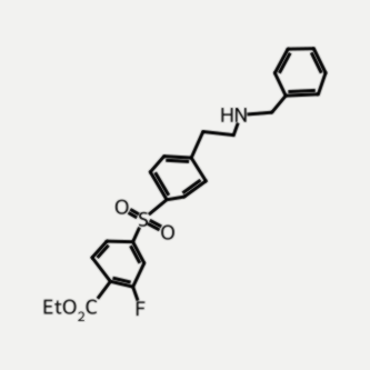 CCOC(=O)c1ccc(S(=O)(=O)c2ccc(CCNCc3ccccc3)cc2)cc1F